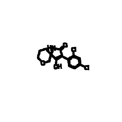 O=C1NC2(CCCOC2)C(O)=C1c1ccc(Cl)cc1Cl